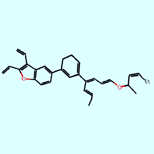 C=Cc1oc2ccc(C3=CC(C(/C=C/C)=C/C=C/OC(C)/C=C\CC)=CCC3)cc2c1C=C